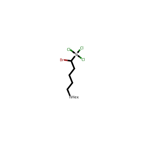 CCCCCCCCCCC(Br)[Si](Cl)(Cl)Cl